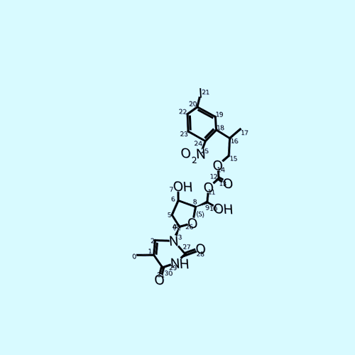 Cc1cn([C@H]2CC(O)[C@@H](C(O)OC(=O)OCC(C)c3cc(I)ccc3[N+](=O)[O-])O2)c(=O)[nH]c1=O